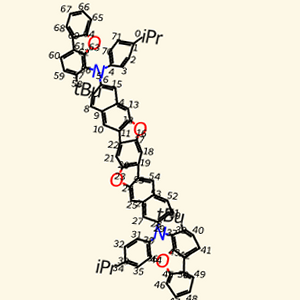 CC(C)c1ccc(N(c2ccc3cc4c(cc3c2)oc2cc3c(cc24)oc2cc4cc(N(c5ccc(C(C)C)cc5)c5c(C(C)(C)C)ccc6c5oc5ccccc56)ccc4cc23)c2c(C(C)(C)C)ccc3c2oc2ccccc23)cc1